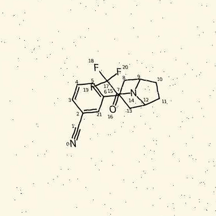 N#Cc1cccc(C2CC3CCC(C2)N3C(=O)C(F)(F)F)c1